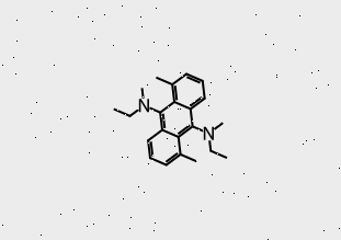 CCN(C)c1c2cccc(C)c2c(N(C)CC)c2cccc(C)c12